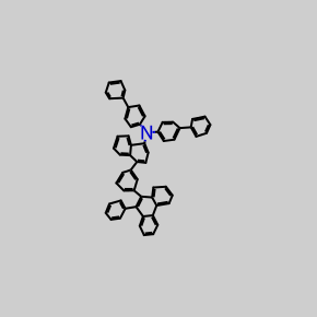 c1ccc(-c2ccc(N(c3ccc(-c4ccccc4)cc3)c3ccc(-c4cccc(-c5c(-c6ccccc6)c6ccccc6c6ccccc56)c4)c4ccccc34)cc2)cc1